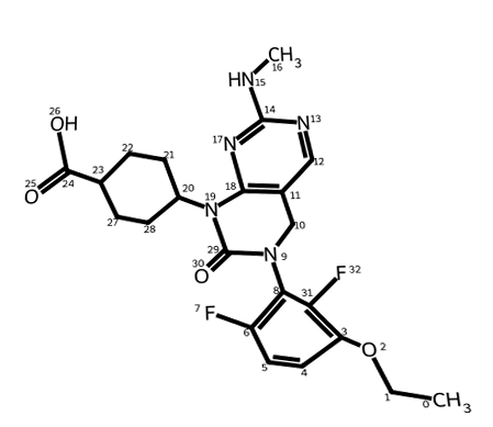 CCOc1ccc(F)c(N2Cc3cnc(NC)nc3N(C3CCC(C(=O)O)CC3)C2=O)c1F